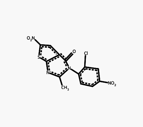 Cc1nc2sc([N+](=O)[O-])cc2c(=O)n1-c1ccc([N+](=O)[O-])cc1Cl